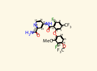 COc1c(Oc2cc(C(F)(F)F)cc(F)c2C(=O)Nc2ccnc(C(N)=O)c2)ccc(OC(F)(F)F)c1F